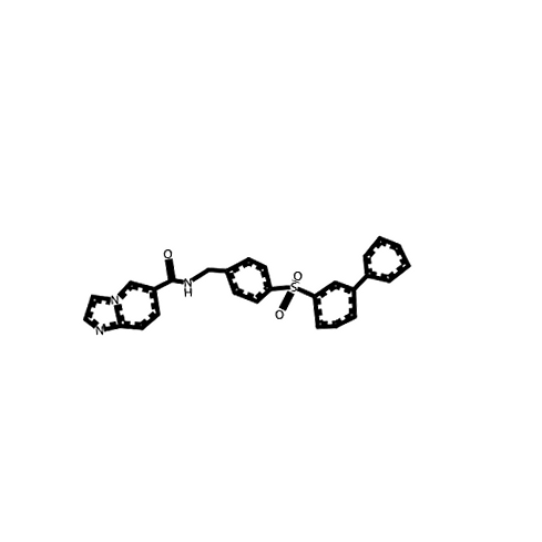 O=C(NCc1ccc(S(=O)(=O)c2cccc(-c3ccccc3)c2)cc1)c1ccc2nccn2c1